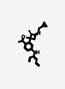 C=C/C=C(\C=C)Nc1ccc(C(C)=O)c(C2(C)C/C(=N/CC3CC3)[C@@H]2C)c1